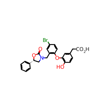 O=C(O)Cc1ccc(O)c(Oc2ccc(Br)cc2CN2C[C@H](c3ccccc3)OC2=O)c1